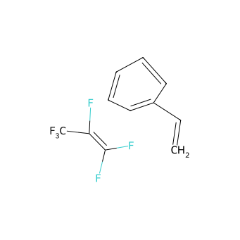 C=Cc1ccccc1.FC(F)=C(F)C(F)(F)F